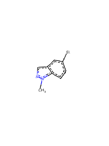 CCc1ccc2c(cnn2C)c1